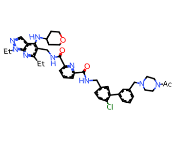 CCc1nc2c(cnn2CC)c(NC2CCOCC2)c1CNC(=O)c1cccc(C(=O)NCc2ccc(Cl)c(-c3cccc(CN4CCN(C(C)=O)CC4)c3)c2)n1